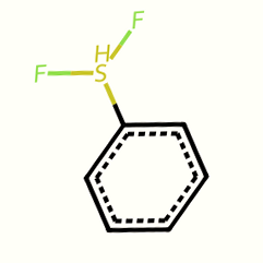 F[SH](F)c1ccccc1